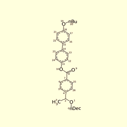 CCCCCCCCCCOC(C)c1ccc(C(=O)Oc2ccc(-c3ccc(OCCCC)cc3)cc2)cc1